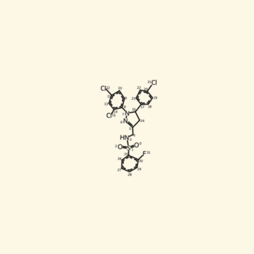 O=S(=O)(NCC1=NN(c2ccc(Cl)cc2Cl)C(c2ccc(Cl)cc2)C1)c1ccccc1F